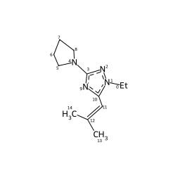 CCn1nc(N2CCCC2)nc1C=C(C)C